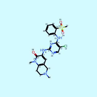 CN1CCc2c(cc(Nc3ncc(Cl)c(Nc4ccccc4S(C)(=O)=O)n3)c(=O)n2C)C1